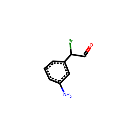 Nc1cccc(C(Br)[C]=O)c1